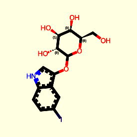 OC[C@H]1OC(Oc2c[nH]c3ccc(I)cc23)[C@H](O)[C@@H](O)[C@H]1O